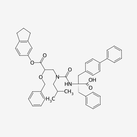 CC(C)CN(CC(OCc1ccccc1)C(=O)Oc1ccc2c(c1)CCC2)C(=O)N[C@@](Cc1ccccc1)(Cc1ccc(-c2ccccc2)cc1)C(=O)O